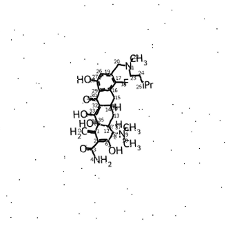 C=C1C(C(N)=O)=C(O)[C@@H](N(C)C)[C@@H]2C[C@@H]3Cc4c(F)c(CN(C)CCC(C)C)cc(O)c4C(=O)C3=C(O)[C@]12O